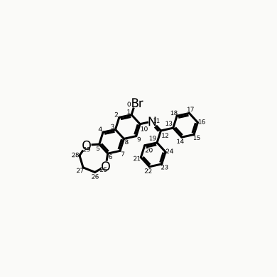 Brc1cc2cc3c(cc2cc1N=C(c1ccccc1)c1ccccc1)OCCCO3